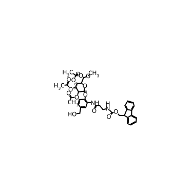 COC(=O)C1O[C@@H](Oc2ccc(CO)cc2NC(=O)CCNC(=O)OCC2c3ccccc3-c3ccccc32)C(OC(C)=O)[C@@H](OC(C)=O)[C@@H]1OC(C)=O